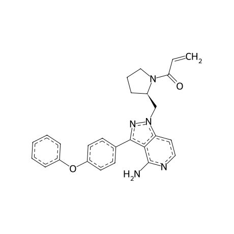 C=CC(=O)N1CCC[C@@H]1Cn1nc(-c2ccc(Oc3ccccc3)cc2)c2c(N)nccc21